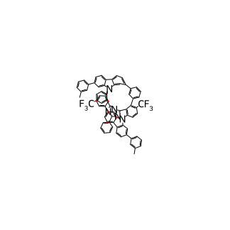 Cc1cccc(-c2ccc3c4ccc(-c5cccc(C)c5)cc4n(-c4ccc(C(F)(F)F)c5c6cccc(c6)c6ccc7c8ccc(-c9cccc(C)c9)cc8n(c8ccc(C(F)(F)F)cc8c8nc(-c9ccccc9)nc(n8)c45)c7c6)c3c2)c1